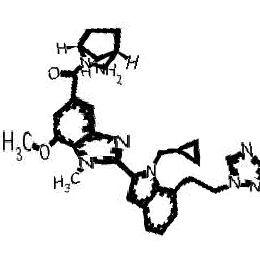 COc1cc(C(=O)N2C[C@H]3CC[C@@H]2[C@@H]3N)cc2nc(-c3cc4cccc(CCn5cncn5)c4n3CC3CC3)n(C)c12